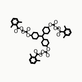 Cc1cccc(C)c1C(=O)OOC(=O)OC1CCC(C(C2CCC(OC(=O)OOC(=O)c3c(C)cccc3C)CC2)C2CCC(OC(=O)OOC(=O)c3c(C)cccc3C)CC2)CC1